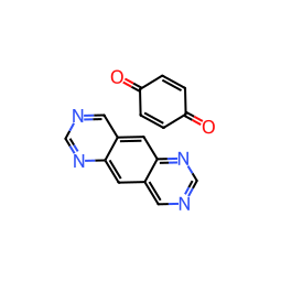 O=C1C=CC(=O)C=C1.c1ncc2cc3ncncc3cc2n1